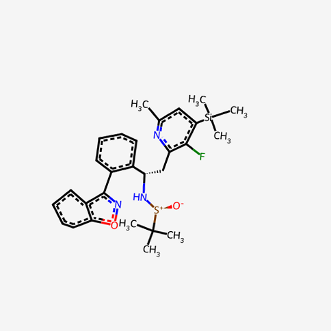 Cc1cc([Si](C)(C)C)c(F)c(C[C@H](N[S@@+]([O-])C(C)(C)C)c2ccccc2-c2noc3ccccc23)n1